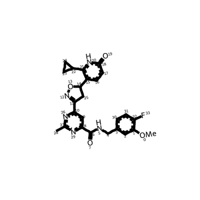 COc1cc(CNC(=O)c2cc(C3=NOC(c4ccc(=O)[nH]c4C4CC4)C3)nc(C)n2)ccc1F